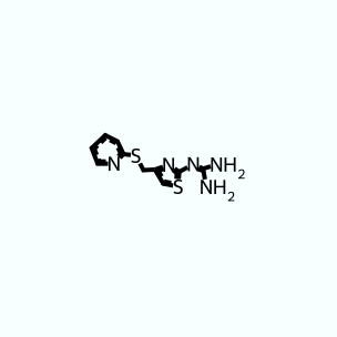 NC(N)=Nc1nc(CSc2ccccn2)cs1